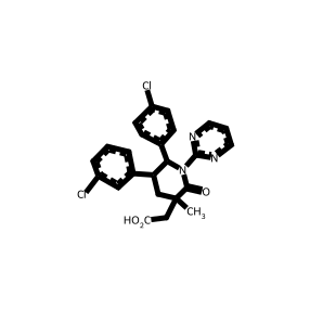 CC1(CC(=O)O)CC(c2cccc(Cl)c2)C(c2ccc(Cl)cc2)N(c2ncccn2)C1=O